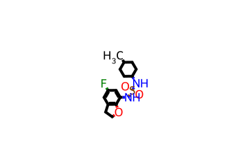 CC1CCC(NS(=O)(=O)Nc2cc(F)cc3c2OCC3)CC1